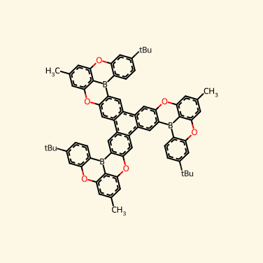 Cc1cc2c3c(c1)Oc1cc4c5cc6c(cc5c5cc7c(cc5c4cc1B3c1ccc(C(C)(C)C)cc1O2)Oc1cc(C)cc2c1B7c1ccc(C(C)(C)C)cc1O2)Oc1cc(C)cc2c1B6c1ccc(C(C)(C)C)cc1O2